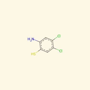 Nc1cc(Cl)c(Cl)cc1S